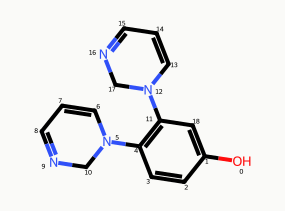 Oc1ccc(N2C=CC=NC2)c(N2C=CC=NC2)c1